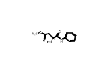 COC(=O)C[C@@H](O)C(=O)Nc1ccccc1